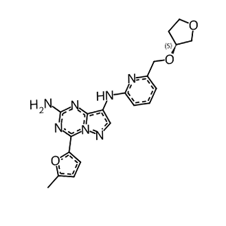 Cc1ccc(-c2nc(N)nc3c(Nc4cccc(CO[C@H]5CCOC5)n4)cnn23)o1